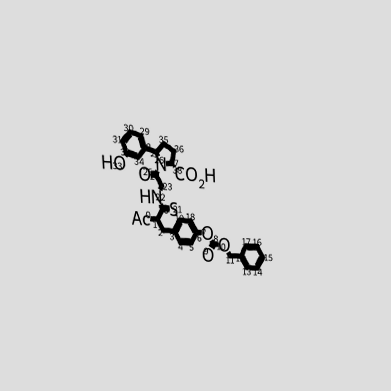 CC(=O)C(Cc1ccc(OC(=O)OCc2ccccc2)cc1)C(=S)NCC(=O)N1C(c2cccc(O)c2)CC[C@H]1C(=O)O